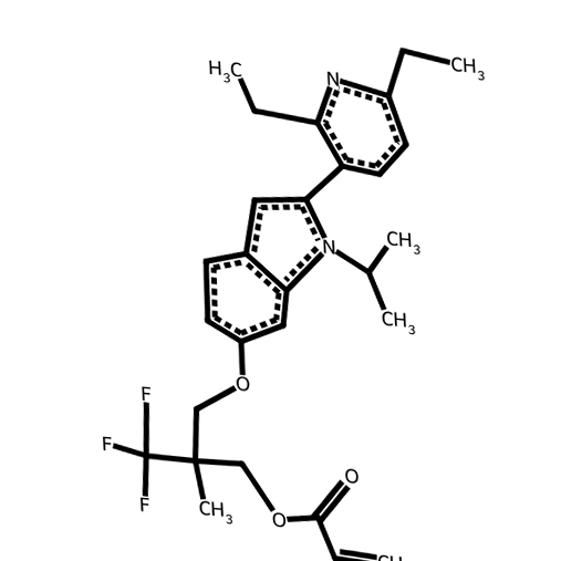 C=CC(=O)OCC(C)(COc1ccc2cc(-c3ccc(CC)nc3CC)n(C(C)C)c2c1)C(F)(F)F